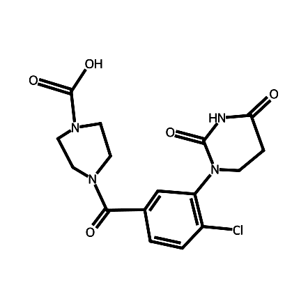 O=C1CCN(c2cc(C(=O)N3CCN(C(=O)O)CC3)ccc2Cl)C(=O)N1